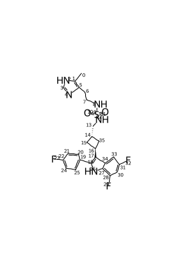 Cc1[nH]cnc1CCNS(=O)(=O)NC[C@H]1C[C@H](c2c(-c3ccc(F)cc3)[nH]c3c(F)cc(F)cc32)C1